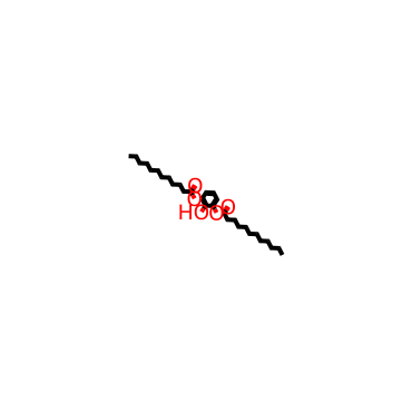 CCCCCCCCCCCC(=O)Oc1cccc(OC(=O)CCCCCCCCCCC)c1O